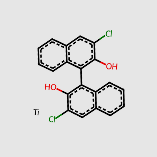 Oc1c(Cl)cc2ccccc2c1-c1c(O)c(Cl)cc2ccccc12.[Ti]